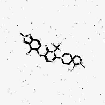 [2H]C([2H])([2H])n1c(N2CCC3(CC2)CO[C@@H](C)[C@H]3N)ncc(Sc2ccc3nn(C)cc3c2Cl)c1=O